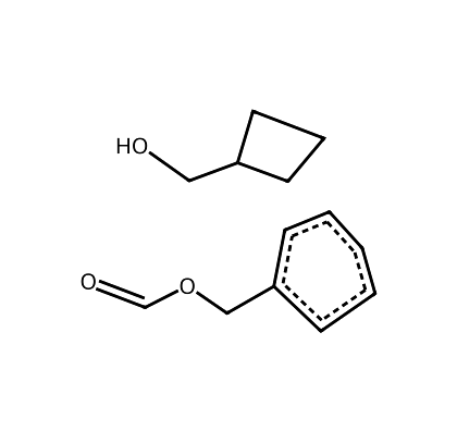 O=COCc1ccccc1.OCC1CCC1